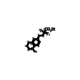 CCOC(=O)C(F)(F)CCc1ccc2c(c1)CCCN2C